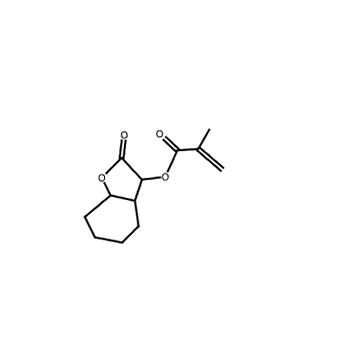 C=C(C)C(=O)OC1C(=O)OC2CCCCC21